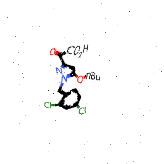 CCCCOc1cc(C(=O)C(=O)O)nn1Cc1ccc(Cl)cc1Cl